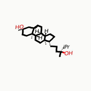 CC(C)[C@@](C)(O)CCC[C@H]1CC[C@H]2[C@@H]3CC=C4C[C@@](C)(O)CC[C@]4(C)[C@H]3CC[C@]12C